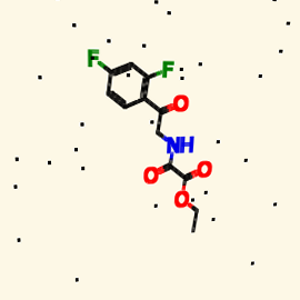 CCOC(=O)C(=O)NCC(=O)c1ccc(F)cc1F